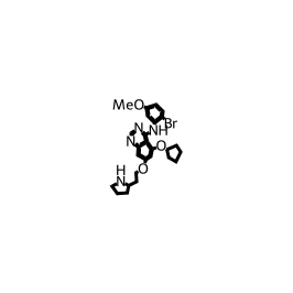 COc1ccc(Br)c(Nc2ncnc3cc(OCCC4CCCN4)cc(OC4CCCC4)c23)c1